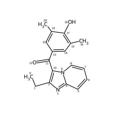 CCc1nc2ccccn2c1C(=O)c1cc(C)c(O)c(C)c1